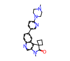 CN1CCN(c2ccc(-c3ccc4ncc5c(c4c3)C3(CCC3)C(=O)N5C)cn2)CC1